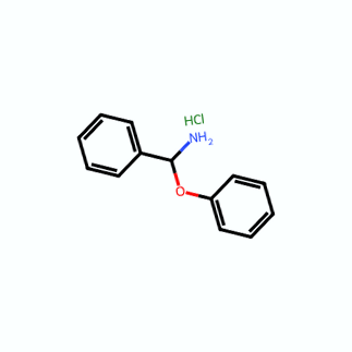 Cl.NC(Oc1ccccc1)c1ccccc1